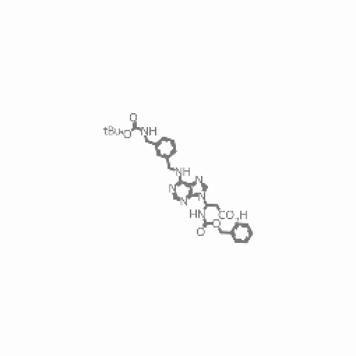 CC(C)(C)OC(=O)NCc1cccc(CNc2ncnc3c2ncn3C(CC(=O)O)NC(=O)OCc2ccccc2)c1